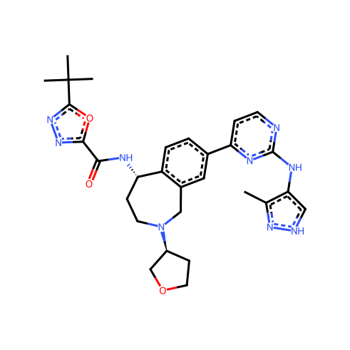 Cc1n[nH]cc1Nc1nccc(-c2ccc3c(c2)CN([C@H]2CCOC2)CC[C@@H]3NC(=O)c2nnc(C(C)(C)C)o2)n1